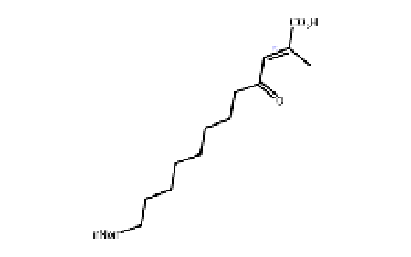 CCCCCCCCCCCCCCCCCC(=O)/C=C(\C)C(=O)O